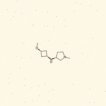 CO[C@H]1C[C@@H](N[C@H]2CCN(C)C2)C1